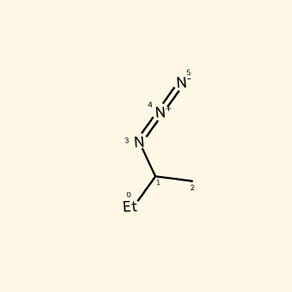 CCC(C)N=[N+]=[N-]